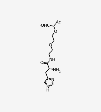 CC(=O)C([C]=O)OCCOCCNC(=O)[C@@H](N)Cc1c[nH]cn1